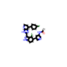 CCC(=O)Nc1cncc(-c2ccc3[nH]nc(-c4nc5c(-c6ccc(F)cc6)ccnc5[nH]4)c3c2F)c1